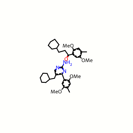 COc1cc(-c2nc(N)ncc2CC2CCCCC2)c(OC)cc1C.COc1cc(C(=O)CCC2CCCCC2)c(OC)cc1C